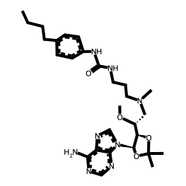 CCCCc1ccc(NC(=O)NCCCN(C)C[C@@H](OC)[C@H]2OC(C)(C)O[C@H]2n2cnc3c(N)ncnc32)cc1